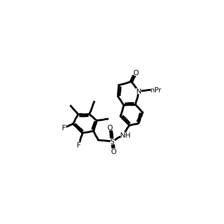 CCCn1c(=O)ccc2cc(NS(=O)(=O)Cc3c(C)c(C)c(C)c(F)c3F)ccc21